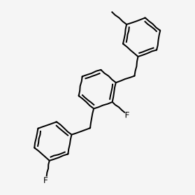 Cc1cccc(Cc2cccc(Cc3cccc(F)c3)c2F)c1